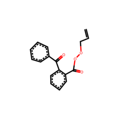 C=CCOOC(=O)c1ccccc1C(=O)c1ccccc1